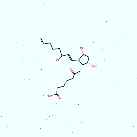 CCCCCC(O)/C=C/[C@@H]1[C@@H](CC(=O)CCCCC(=O)O)[C@@H](O)C[C@H]1O